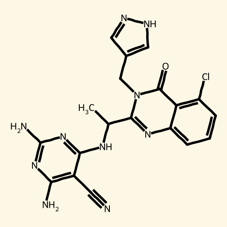 CC(Nc1nc(N)nc(N)c1C#N)c1nc2cccc(Cl)c2c(=O)n1Cc1cn[nH]c1